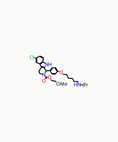 COCCOC(=O)N1CCc2c([nH]c3ccc(Cl)cc23)C1c1ccc(OCCCCCCNC(C)C)cc1